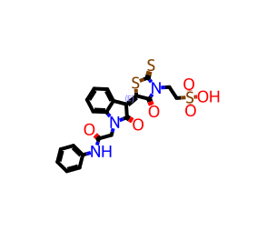 O=C(CN1C(=O)/C(=C2/SC(=S)N(CCS(=O)(=O)O)C2=O)c2ccccc21)Nc1ccccc1